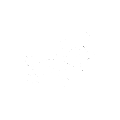 c1ccc(-c2nc(-c3ccccc3)nc(-c3cc(-c4cccc5sc6c(ccc7c8ccccc8n(-c8ccccc8)c76)c45)ccc3-c3cccc4sc5c(ccc6c7ccccc7n(-c7ccccc7)c65)c34)n2)cc1